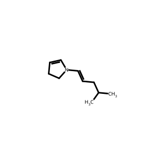 CC(C)C/C=C/N1C=CCC1